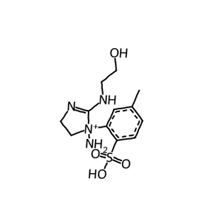 Cc1ccc(S(=O)(=O)O)c([N+]2(N)CCN=C2NCCO)c1